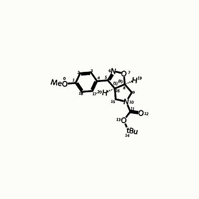 COc1ccc(C2=NO[C@H]3CN(C(=O)OC(C)(C)C)C[C@@H]23)cc1